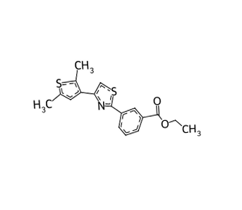 CCOC(=O)c1cccc(-c2nc(-c3cc(C)sc3C)cs2)c1